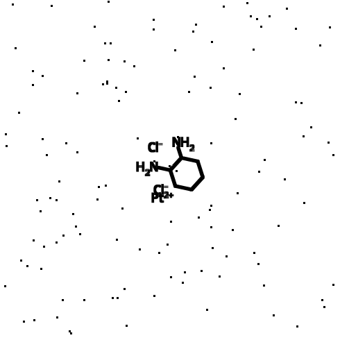 NC1CCCCC1N.[Cl-].[Cl-].[Pt+2]